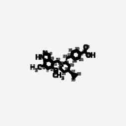 COc1cc(C)c2[nH]ncc2c1CN1CCC(C2CC2)C[C@H]1Cc1ccc(C(=O)O)cc1